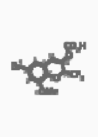 COc1cc(Br)cc2c1OC(C(F)(F)F)C(OC(=O)O)=C2